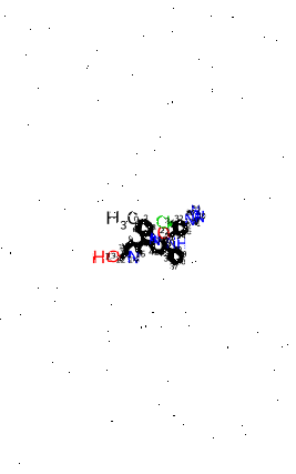 Cc1ccc2c(c1)c(-c1ccc(CO)nc1)c1n2C[C@@](NC(=O)c2ccc(-n3cnnc3)cc2Cl)(c2ccccc2)CC1